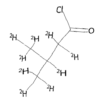 [2H]C([2H])([2H])C([2H])(C([2H])([2H])[2H])C([2H])([2H])C(=O)Cl